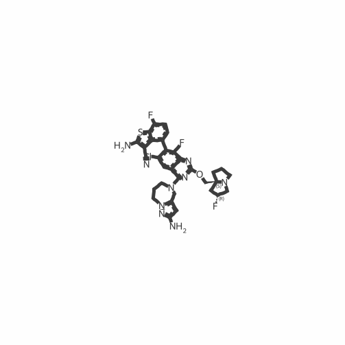 N#Cc1c(N)sc2c(F)ccc(-c3c(Cl)cc4c(N5CCCn6nc(N)cc6C5)nc(OC[C@@]56CCCN5C[C@H](F)C6)nc4c3F)c12